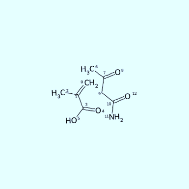 C=C(C)C(=O)O.CC(=O)CC(N)=O